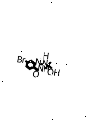 CC(C)(CO)Nc1nc2cc(Br)ccc2c(=O)[nH]1